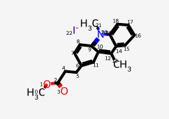 COC(=O)CCc1ccc2c(c1)c(C)c1ccccc1[n+]2C.[I-]